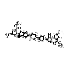 C[C@H]1C[C@@H](c2ncc(-c3ccc(-c4ccc(-c5cc6[nH]c([C@@H]7C[C@H](C)CN7C(=O)OC(C)(C)C)nc6s5)cc4)cc3)[nH]2)N(C(=O)OC(C)(C)C)C1